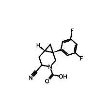 N#CC1C[C@@H]2C[C@]2(c2cc(F)cc(F)c2)CN1C(=O)O